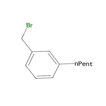 CCCCCc1cccc(CBr)c1